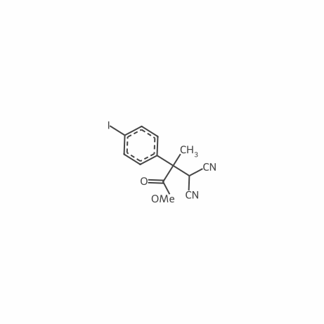 COC(=O)C(C)(c1ccc(I)cc1)C(C#N)C#N